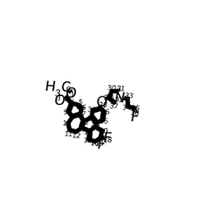 COC(=O)c1ccc2c(c1)CCCC(C1=CCC(F)(F)CC1)=C2c1cccc(O[C@@H]2CCN(CCCF)C2)c1